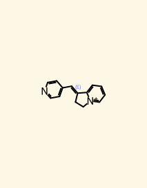 C(=C1/CC[n+]2ccccc21)/c1ccncc1